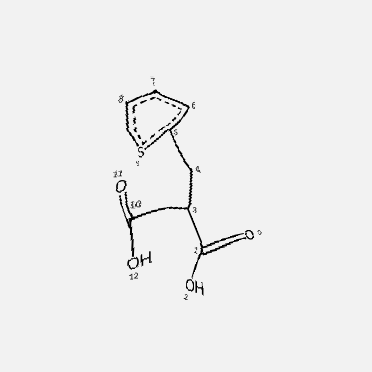 O=C(O)C(Cc1cccs1)C(=O)O